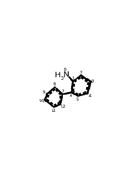 Nc1ccccc1-c1cc[c]cc1